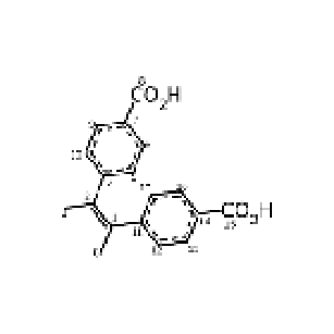 CC(=C(C)c1ccc(C(=O)O)cc1)c1ccc(C(=O)O)cc1